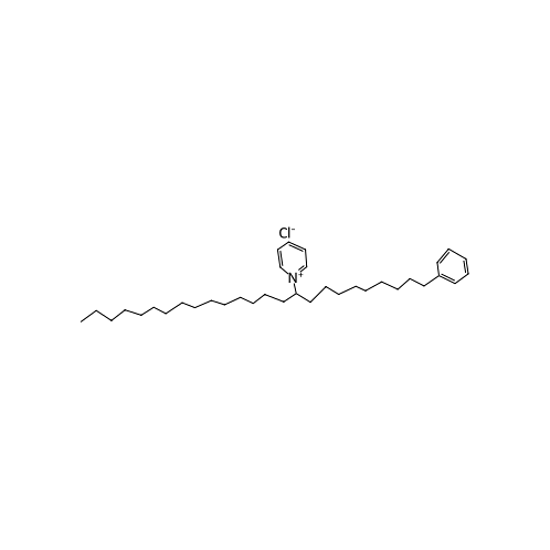 CCCCCCCCCCCCCCCC(CCCCCCCCCc1ccccc1)[n+]1ccccc1.[Cl-]